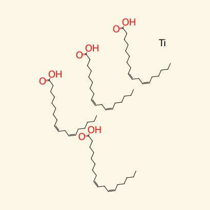 CCCCC/C=C\C/C=C\CCCCCCCC(=O)O.CCCCC/C=C\C/C=C\CCCCCCCC(=O)O.CCCCC/C=C\C/C=C\CCCCCCCC(=O)O.CCCCC/C=C\C/C=C\CCCCCCCC(=O)O.[Ti]